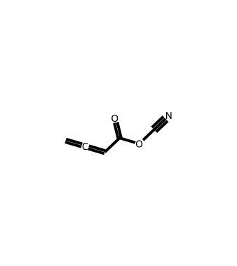 C=C=CC(=O)OC#N